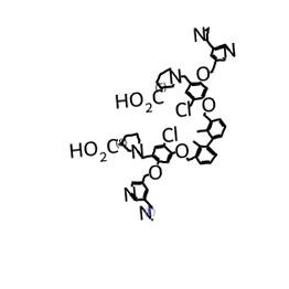 C/N=C/c1cncc(COc2cc(OCc3cccc(-c4cccc(COc5cc(OCc6cncc(C7=NC7)c6)c(CN6CCC[C@H](C(=O)O)C6)cc5Cl)c4C)c3C)c(Cl)cc2CN2CCC[C@H](C(=O)O)C2)c1